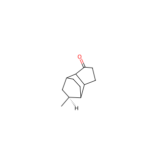 C[C@H]1CC2CCC1C1CCC(=O)C21